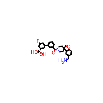 NCc1ccc2c(c1)C1(CCN(C(=O)c3cccc(-c4cc(F)cc(B(O)O)c4)c3)CC1)CO2